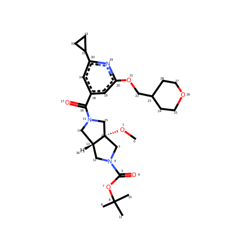 CO[C@]12CN(C(=O)OC(C)(C)C)C[C@@H]1CN(C(=O)c1cc(OCC3CCOCC3)nc(C3CC3)c1)C2